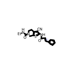 CCNC(=O)N1CCc2c(sc(NC(=O)/C=C/c3ccccc3)c2C#N)C1